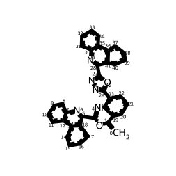 C=C(OC(=N)c1nc2ccccc2c2ccccc12)c1cccc(-c2nnc(-c3nc4ccccc4c4ccccc34)o2)c1